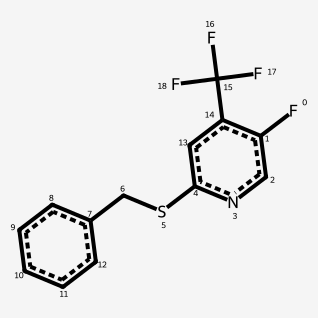 Fc1cnc(SCc2ccccc2)cc1C(F)(F)F